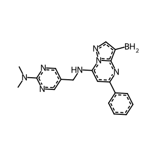 Bc1cnn2c(NCc3cnc(N(C)C)nc3)cc(-c3ccccc3)nc12